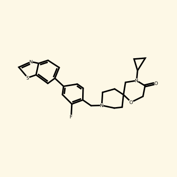 O=C1COC2(CCN(Cc3ccc(-c4ccc5ncsc5c4)cc3F)CC2)CN1C1CC1